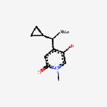 CNC(c1cc(=O)n(C)cc1Br)C1CC1